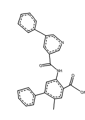 COC(=O)c1cc(C)c(-c2ccccc2)cc1NC(=O)c1cncc(-c2ccccc2)c1